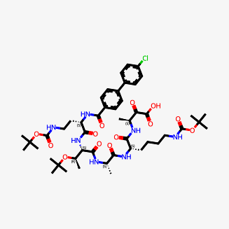 C[C@H](NC(=O)[C@@H](NC(=O)[C@H](CCNC(=O)OC(C)(C)C)NC(=O)c1ccc(-c2ccc(Cl)cc2)cc1)[C@@H](C)OC(C)(C)C)C(=O)N[C@@H](CCCCNC(=O)OC(C)(C)C)C(=O)N[C@@H](C)C(=O)C(=O)O